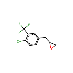 FC(F)(F)c1cc(CC2CO2)ccc1Cl